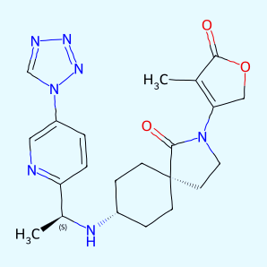 CC1=C(N2CC[C@]3(CC[C@@H](N[C@@H](C)c4ccc(-n5cnnn5)cn4)CC3)C2=O)COC1=O